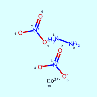 NN.O=[N+]([O-])[O-].O=[N+]([O-])[O-].[Co+2]